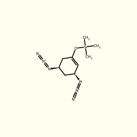 C[Si](C)(C)OC1=C[C@@H](N=[N+]=[N-])C[C@@H](N=[N+]=[N-])C1